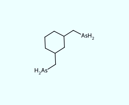 [AsH2]CC1CCCC(C[AsH2])C1